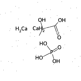 CC(O)C(=O)O.O=P(O)(O)O.[CaH2].[CaH2]